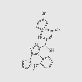 COc1ccccc1-n1c(-c2cccs2)nnc1C(S)c1cc(=O)n2cc(Br)ccc2n1